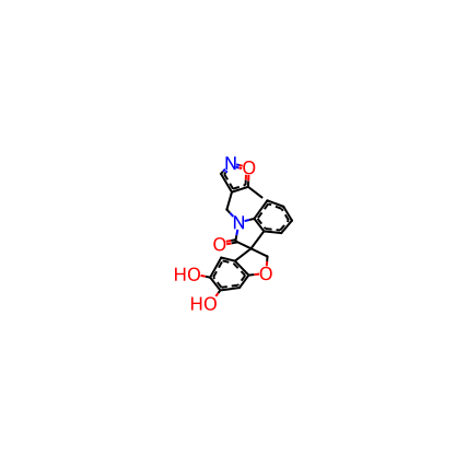 Cc1oncc1CN1C(=O)C2(COc3cc(O)c(O)cc32)c2ccccc21